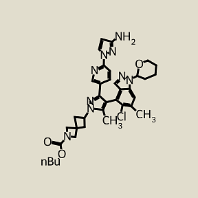 CCCCOC(=O)N1CC2(CC(n3nc(-c4ccc(-n5ccc(N)n5)nc4)c(-c4c(Cl)c(C)cc5c4cnn5C4CCCCO4)c3C)C2)C1